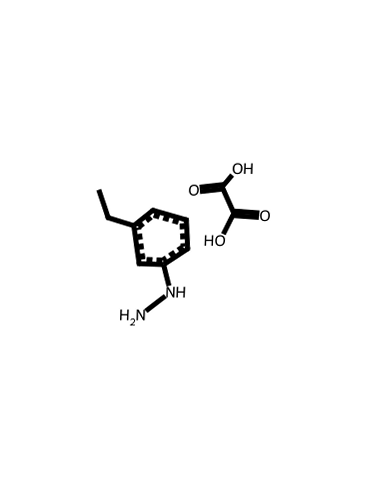 CCc1cccc(NN)c1.O=C(O)C(=O)O